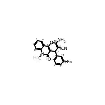 Cn1c(=O)c2c(c3ccccc31)OC(N)=C(C#N)C2c1cccc(F)c1